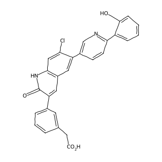 O=C(O)Cc1cccc(-c2cc3cc(-c4ccc(-c5ccccc5O)nc4)c(Cl)cc3[nH]c2=O)c1